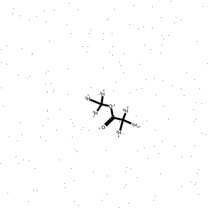 [2H]C([2H])([2H])OC(=O)C([2H])([2H])[2H]